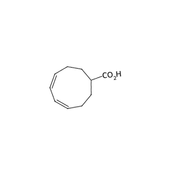 O=C(O)C1CCC=CC=CCC1